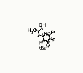 CC(CO)Cc1nc(F)c(F)c(OC(C)(C)C)c1F